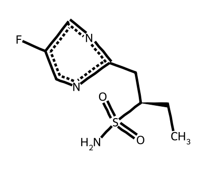 CC[C@H](Cc1ncc(F)cn1)S(N)(=O)=O